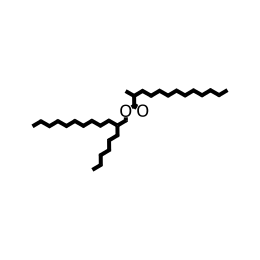 CCCCCCCCCCCC(C)C(=O)OCC(CCCCCC)CCCCCCCCCC